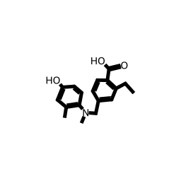 CCc1cc(CN(C)c2ccc(O)cc2C)ccc1C(=O)O